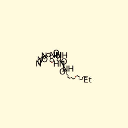 CC/C=C\C/C=C\C/C=C\C/C=C\C/C=C\CCCC(=O)NCCNC(=O)c1ccc2c(c1)NC(=O)/C2=C(\Nc1ccc(N(C)C(=O)CN2CCN(C)CC2)cc1)c1ccccc1